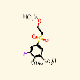 COc1c(I)cc(S(=O)(=O)CCOS(=O)(=O)O)cc1S(=O)(=O)O